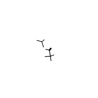 CCC(C)(C)C(=O)OC(C)C(F)(F)F